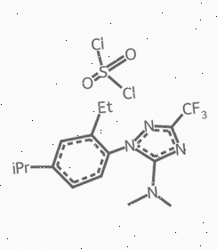 CCc1cc(C(C)C)ccc1-n1nc(C(F)(F)F)nc1N(C)C.O=S(=O)(Cl)Cl